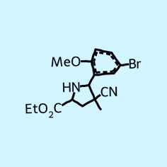 CCOC(=O)C1CC(C)(C#N)C(c2cc(Br)ccc2OC)N1